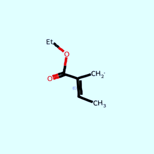 [CH2]/C(=C\C)C(=O)OCC